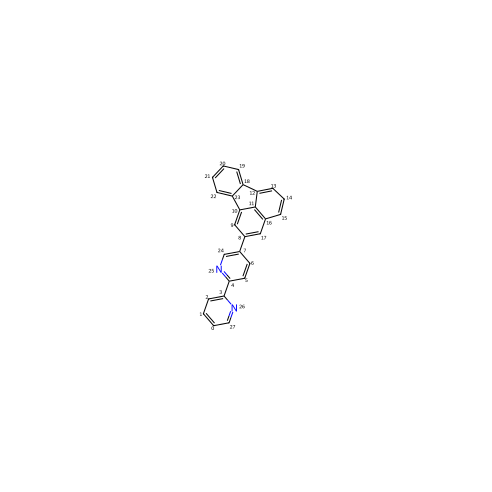 c1ccc(-c2ccc(-c3cc4c5c(cccc5c3)-c3ccccc3-4)cn2)nc1